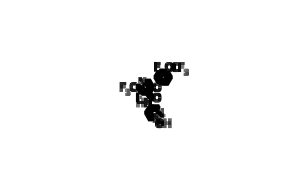 O=C(Nc1cc[n+](O)nc1)c1c(Oc2ccc(OC(F)(F)F)c(F)c2)cnc(C(F)(F)F)c1F